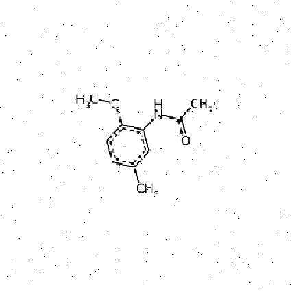 [CH2]C(=O)Nc1cc(C)ccc1OC